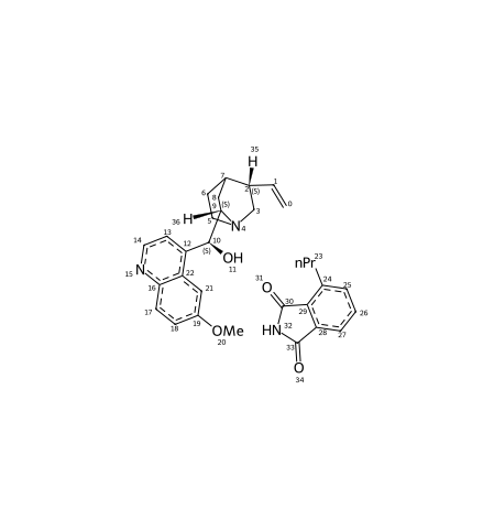 C=C[C@@H]1CN2CCC1C[C@H]2[C@@H](O)c1ccnc2ccc(OC)cc12.CCCc1cccc2c1C(=O)NC2=O